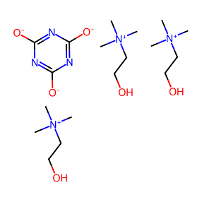 C[N+](C)(C)CCO.C[N+](C)(C)CCO.C[N+](C)(C)CCO.[O-]c1nc([O-])nc([O-])n1